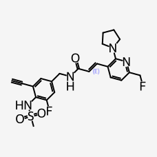 C#Cc1cc(CNC(=O)/C=C/c2ccc(CF)nc2N2CCCC2)cc(F)c1NS(C)(=O)=O